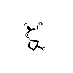 CC(C)(C)OC(=O)ON1CCC(O)C1